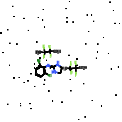 Clc1cccc(Cl)c1N=C1NCCN1.O=C(O)C(F)(F)C(F)(F)C(F)(F)F.O=C(O)C(F)(F)C(F)(F)C(F)(F)F